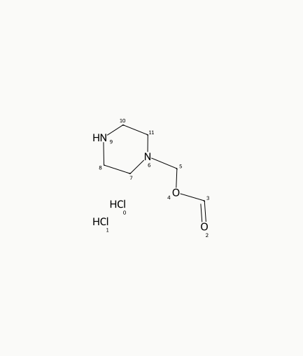 Cl.Cl.O=COCN1CCNCC1